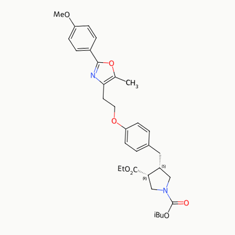 CCOC(=O)[C@H]1CN(C(=O)OCC(C)C)C[C@H]1Cc1ccc(OCCc2nc(-c3ccc(OC)cc3)oc2C)cc1